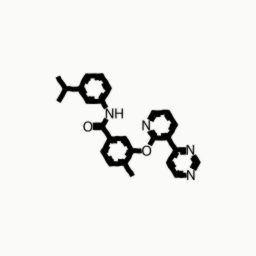 Cc1ccc(C(=O)Nc2cccc(C(C)C)c2)cc1Oc1ncccc1-c1ccncn1